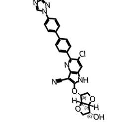 N#Cc1c(O[C@@H]2CO[C@H]3[C@@H]2OC[C@H]3O)[nH]c2cc(Cl)c(-c3ccc(-c4ccc(-n5cncn5)cc4)cc3)nc12